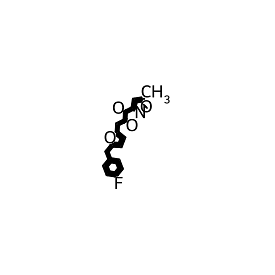 Cc1cc(C(=O)C(=O)Cc2ccc(Cc3ccc(F)cc3)o2)no1